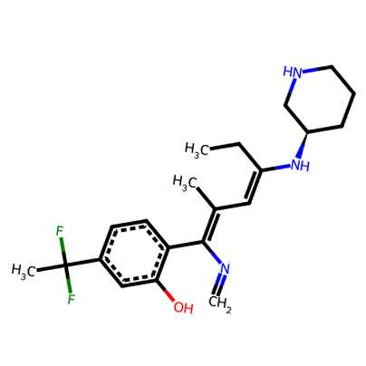 C=N/C(=C(C)\C=C(/CC)N[C@@H]1CCCNC1)c1ccc(C(C)(F)F)cc1O